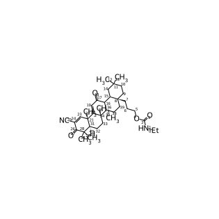 CCNC(=O)OCCC[C@]12CCC(C)(C)CC1C1C(=O)C=C3[C@@]4(C)C=C(C#N)C(=O)C(C)(C)[C@@H]4CC[C@@]3(C)[C@]1(C)CC2